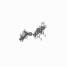 CN(CC[C@H]1CC[C@H](n2cc(NC(=O)c3cc4ncccn4n3)c(C(F)F)n2)CC1)C1CCN(c2cccc3c2n(C)c(=O)n3C2CCC(=O)NC2=O)CC1